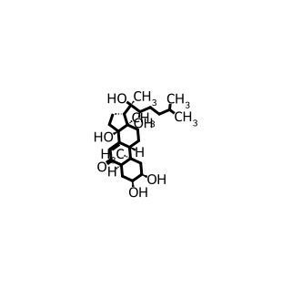 CC(C)CC[C@@H](O)[C@](C)(O)[C@H]1CC[C@@]2(O)C3=CC(=O)[C@@H]4C[C@H](O)[C@H](O)C[C@]4(C)[C@H]3CC[C@]12C